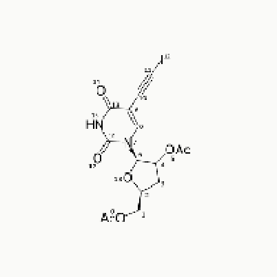 CC(=O)OC[C@@H]1C[C@@H](OC(C)=O)[C@H](n2cc(C#CI)c(=O)[nH]c2=O)O1